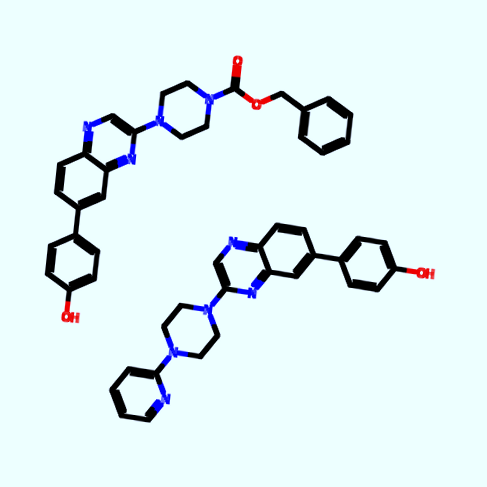 O=C(OCc1ccccc1)N1CCN(c2cnc3ccc(-c4ccc(O)cc4)cc3n2)CC1.Oc1ccc(-c2ccc3ncc(N4CCN(c5ccccn5)CC4)nc3c2)cc1